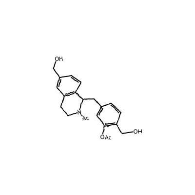 CC(=O)Oc1cc(CC2c3ccc(CO)cc3CCN2C(C)=O)ccc1CO